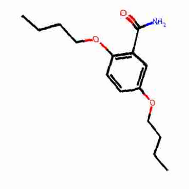 CCCCOc1ccc(OCCCC)c(C(N)=O)c1